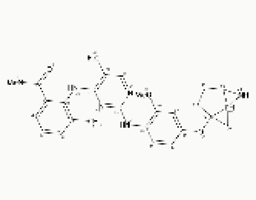 CNC(=O)c1cccc(C)c1Nc1nc(Nc2ccc(OC34CCC5N[PH]53C4)cc2OC)ncc1C(F)(F)F